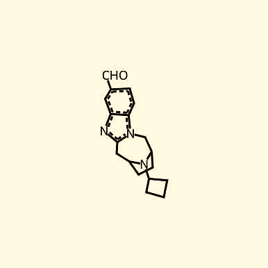 O=Cc1ccc2c(c1)nc1n2CC2CCC(C1)N2C1CCC1